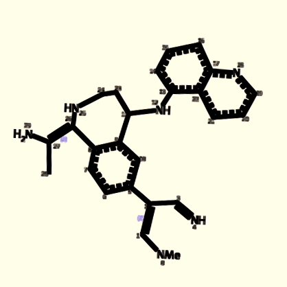 CN/C=C(\C=N)c1ccc2c(c1)C(Nc1cccc3ncccc13)CCN/C2=C(/C)N